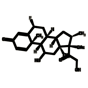 CC(=O)O[C@]1(C(=O)CO)[C@@H](C)C[C@H]2[C@@H]3C[C@H](F)C4=CC(=O)C=C[C@]4(C)[C@H]3C(O)C[C@@]21C